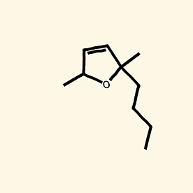 CCCCC1(C)C=CC(C)O1